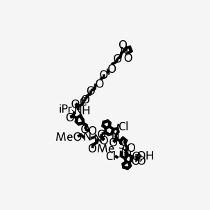 COCCN(CCN(CCOC)C(=O)Oc1cc2c(c3ccccc13)[C@H](CCl)CN2C(=O)c1ccc(C(=O)N2C[C@@H](CCl)c3c2cc(OP(=O)(O)O)c2ccccc32)s1)C(=O)OCc1ccc(C(=O)[C@@H](NC(=O)CCOCCOCCOCCOCCOCCOCCN2C(=O)C=CC2=O)C(C)C)cc1